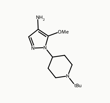 COc1c(N)cnn1C1CCN(C(C)(C)C)CC1